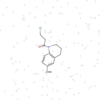 O=Cc1ccc2c(c1)CCCN2C(=O)CCCl